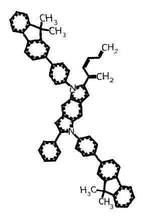 C=C/C=C\C(=C)c1cc2cc3c(cc(-c4ccccc4)n3-c3ccc(-c4ccc5c(c4)C(C)(C)c4ccccc4-5)cc3)cc2n1-c1ccc(-c2ccc3c(c2)C(C)(C)c2ccccc2-3)cc1